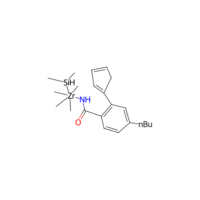 CCCCc1ccc(C(=O)[NH][Zr]([CH3])([CH3])([CH3])([CH3])[SiH](C)C)c(C2=CC=CC2)c1